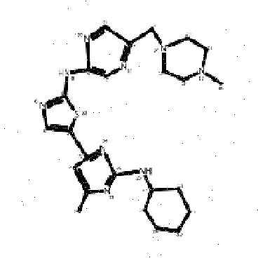 Cc1cc(-c2cnc(Nc3cnc(CN4CCN(C)CC4)cn3)s2)nc(NC2CCCCC2)n1